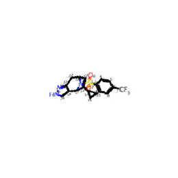 O=S(=O)(c1ccc(C(F)(F)F)cc1)N1C2C=C(C3CC3)C1c1c[nH]nc1C2